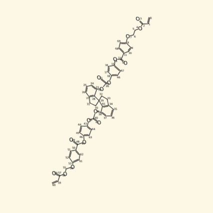 C=CC(=O)OCCOc1ccc(C(=O)Oc2ccc(OC(=O)Oc3cccc4c3C3(CC4)CCc4cccc(OC(=O)Oc5ccc(OC(=O)c6ccc(OCOC(=O)C=C)cc6)cc5)c43)cc2)cc1